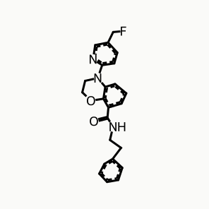 O=C(NCCc1ccccc1)c1cccc2c1OCCN2c1ccc(CF)cn1